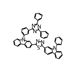 c1ccc(-c2nc(-c3ccccc3)nc(-c3cccc(-n4c5ccccc5c5ccc(-c6nnc(-c7ccc8c9ccccc9n(-c9ccccc9)c8c7)s6)cc54)c3)n2)cc1